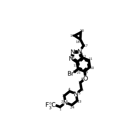 FC(F)(F)CN1CCN(CCOc2ccc3c(nnn3CC3CC3)c2Br)CC1